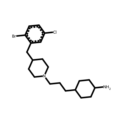 NC1CCC(CCCN2CCC(Cc3cc(Cl)ccc3Br)CC2)CC1